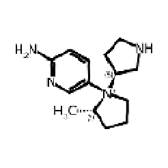 C[C@H]1CCC[N+]1(c1ccc(N)nc1)[C@H]1CCNC1